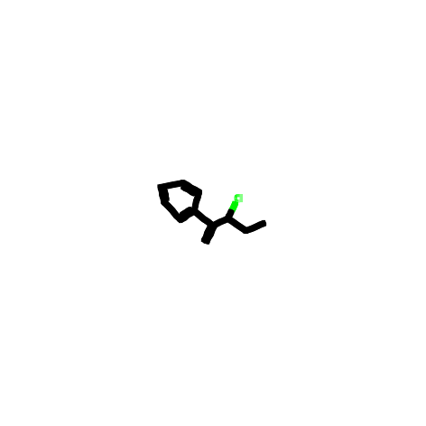 C=C(c1ccccc1)C(Cl)CC